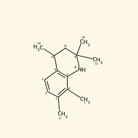 Cc1ccc2c(c1C)NC(C)(C)CC2C